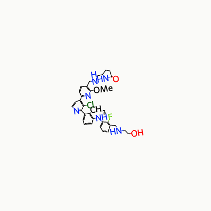 COc1nc(-c2ccnc(-c3cccc(Nc4cccc(CNCCO)c4F)c3C)c2Cl)ccc1CNC[C@H]1CCC(=O)N1